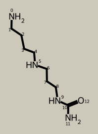 NCCCCNCCCNC(N)=O